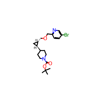 CC(C)(C)OC(=O)N1CCC([C@H]2C[C@@H]2COCc2ccc(Br)cn2)CC1